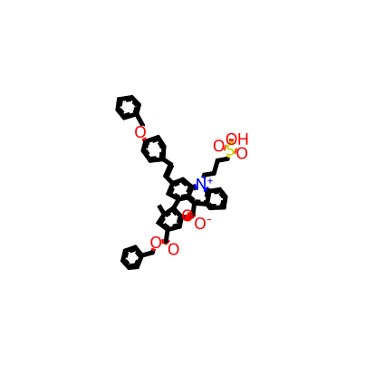 Cc1cc(C(=O)OCc2ccccc2)cc(C)c1-c1cc(C=Cc2ccc(OCc3ccccc3)cc2)cc2c1c(C(=O)[O-])c1ccccc1[n+]2CCCCS(=O)(=O)O